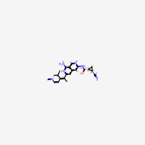 C=N/C=C\C(=C(/C)c1cc2cc(NC(=O)[C@@H]3C[C@H]3C#N)ncc2c(N)n1)C(C)C